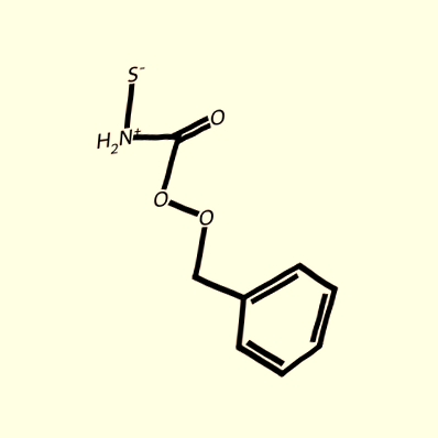 O=C([NH2+][S-])OOCc1ccccc1